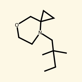 CCC(C)(C)CN1CCOCC12CC2